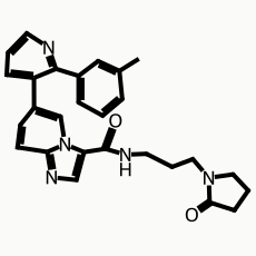 Cc1cccc(-c2ncccc2-c2ccc3ncc(C(=O)NCCCN4CCCC4=O)n3c2)c1